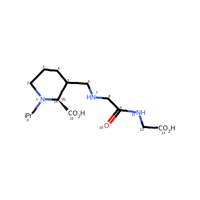 CC(C)N1CCCC(CNCC(=O)NCC(=O)O)[C@H]1C(=O)O